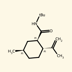 C=C(C)[C@@H]1CC[C@@H](C)C[C@H]1C(=O)NC(C)(C)C